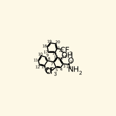 NC(=O)c1cc(Cl)c(-c2ccccc2C(F)(F)F)c(-c2ccccc2C(F)(F)F)c1O